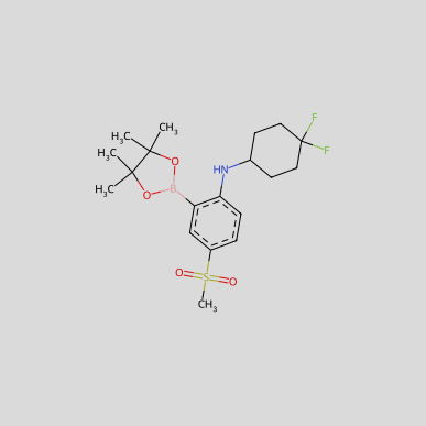 CC1(C)OB(c2cc(S(C)(=O)=O)ccc2NC2CCC(F)(F)CC2)OC1(C)C